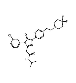 CC(C)NC(=O)Cc1nn(-c2ccc(CCN3CCC(F)(F)CC3)cc2)c(=O)n1-c1cccc(Cl)c1